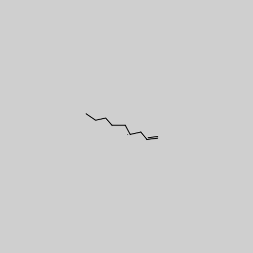 C=CC[CH]CCCCC